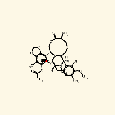 COc1c(C)cc2c(c1O)[C@H]1[C@@H]3CSCC(N)C(=O)OC[C@@H](c4c(C)c(OC(C)=O)c(C)c5c4OCO5)N3[C@@H](C#N)[C@@H](C2)N1C